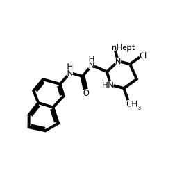 CCCCCCCN1C(Cl)CC(C)NC1NC(=O)Nc1ccc2ccccc2c1